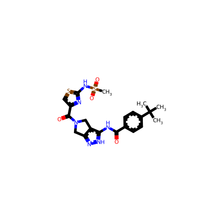 CC(C)(C)c1ccc(C(=O)Nc2[nH]nc3c2CN(C(=O)c2csc(NS(C)(=O)=O)n2)C3)cc1